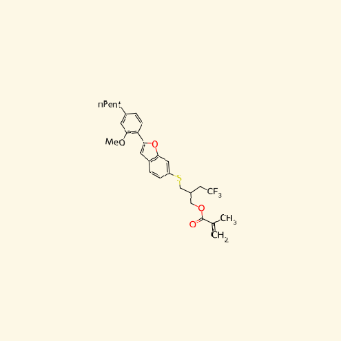 C=C(C)C(=O)OCC(CSc1ccc2cc(-c3ccc(CCCCC)cc3OC)oc2c1)CC(F)(F)F